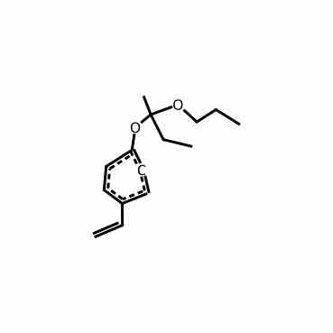 C=Cc1ccc(OC(C)(CC)OCCC)cc1